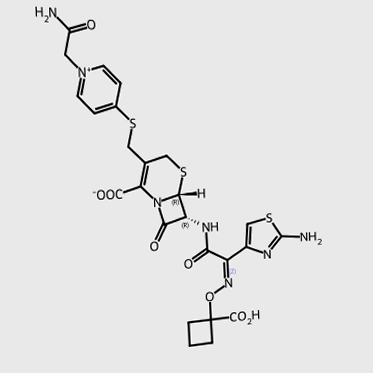 NC(=O)C[n+]1ccc(SCC2=C(C(=O)[O-])N3C(=O)[C@@H](NC(=O)/C(=N\OC4(C(=O)O)CCC4)c4csc(N)n4)[C@H]3SC2)cc1